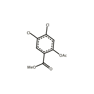 COC(=O)c1cc(Cl)c(Cl)cc1OC(C)=O